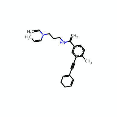 C=CN(/C=C\C)CCCNC(=C)c1ccc(C)c(C#CC2=CCCC=C2)c1